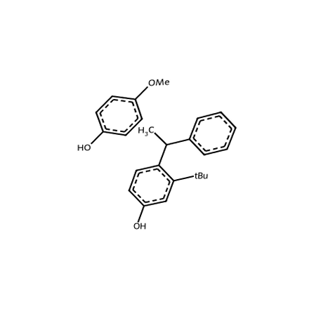 CC(c1ccccc1)c1ccc(O)cc1C(C)(C)C.COc1ccc(O)cc1